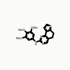 COc1cc(Nc2ncc3c(n2)-c2ccsc2CC3)cc(OC)c1OC